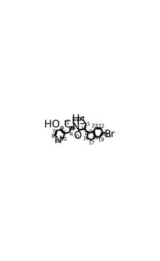 O=C(N[C@@H](Cc1cccnc1)C(=O)O)C(CS)C1CCc2cc(Br)ccc21